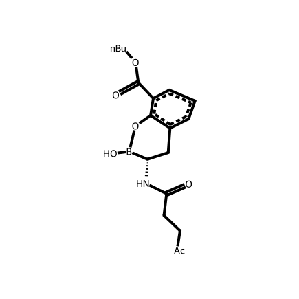 CCCCOC(=O)c1cccc2c1OB(O)[C@@H](NC(=O)CCC(C)=O)C2